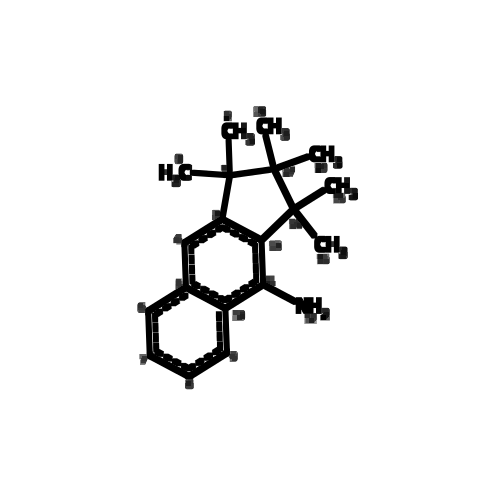 CC1(C)c2cc3ccccc3c(N)c2C(C)(C)C1(C)C